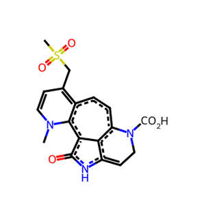 CN1C=CC(CS(C)(=O)=O)=c2ccc3c4c([nH]c(=O)c-4c21)=CCN3C(=O)O